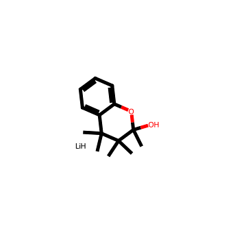 CC1(O)Oc2ccccc2C(C)(C)C1(C)C.[LiH]